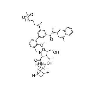 COc1c(CN2O[C@@H](CO)[C@@H]([C@H](C)O)[C@H]2C(=O)N[C@H]2C[C@H]3C[C@@H]([C@@H]2C)C3(C)C)cccc1-c1cc(C(=O)N[C@@H](Cc2ccccc2)CN(C)C)cc(N(C)CCNS(C)(=O)=O)c1